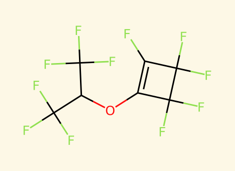 FC1=C(OC(C(F)(F)F)C(F)(F)F)C(F)(F)C1(F)F